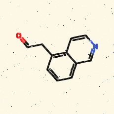 O=CCc1cccc2cnccc12